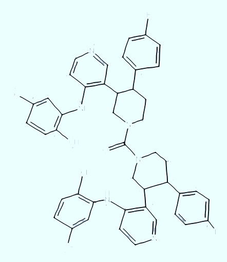 Cc1ccc(C(F)(F)F)cc1Nc1ccncc1C1CN(C(=O)N2CCC(c3ccc(F)cc3)C(c3cnccc3Nc3cc(C(F)(F)F)ccc3C)C2)CCC1c1ccc(F)cc1